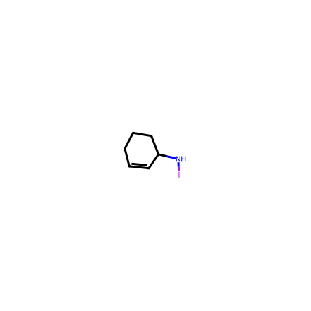 INC1C=CCCC1